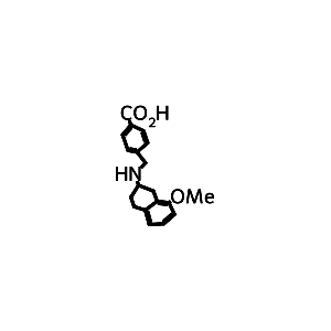 COc1cccc2c1CC(NCc1ccc(C(=O)O)cc1)CC2